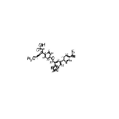 CC#CC(CC(=O)O)c1ccc(OCc2cc(-c3ccc(C(F)F)cc3)cn3ncnc23)cc1